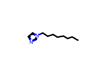 CCCCCCCCn1ccnc1